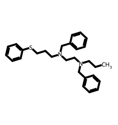 CCCN(CCN(CCCSc1ccccc1)Cc1ccccc1)Cc1ccccc1